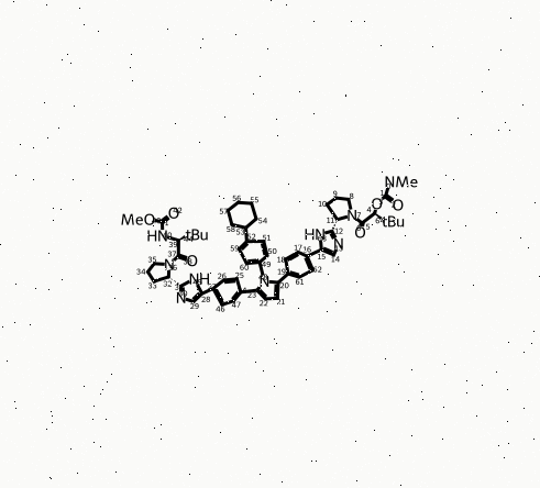 CNC(=O)O[C@H](C(=O)N1CCC[C@H]1c1ncc(-c2ccc(-c3ccc(-c4ccc(-c5cnc([C@@H]6CCCN6C(=O)[C@@H](NC(=O)OC)C(C)(C)C)[nH]5)cc4)n3-c3ccc(C4CCCCC4)cc3)cc2)[nH]1)C(C)(C)C